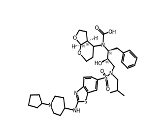 CC(C)CN(C[C@@H](O)[C@H](Cc1ccccc1)N(C(=O)O)C1CCO[C@H]2OCC[C@@H]12)S(=O)(=O)c1ccc2nc(NC3CCN(C4CCCC4)CC3)sc2c1